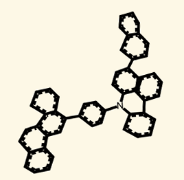 c1ccc(-c2ccccc2N(c2ccc(-c3ccc4ccccc4c3)cc2)c2ccc(-c3cc4c5ccccc5ccc4c4ccccc34)cc2)cc1